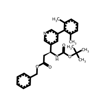 Cc1cccc(C)c1-c1cncc([C@H](CC(=O)OCc2ccccc2)NC(=O)OC(C)(C)C)c1